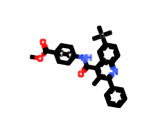 COC(=O)C12CCC(NC(=O)c3c(C)c(-c4ccccc4)nc4ccc([Si](C)(C)C)cc34)(CC1)CC2